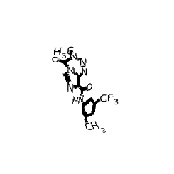 Cc1cc(NC(=O)c2ncn3c(=O)n(C)nnc23)cc(C(F)(F)F)c1